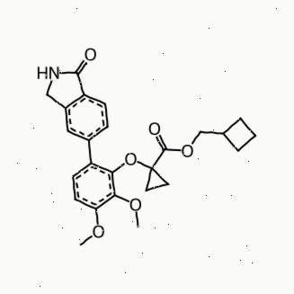 COc1ccc(-c2ccc3c(c2)CNC3=O)c(OC2(C(=O)OCC3CCC3)CC2)c1OC